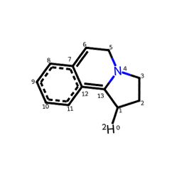 [2H]C1CCN2CC=c3ccccc3=C12